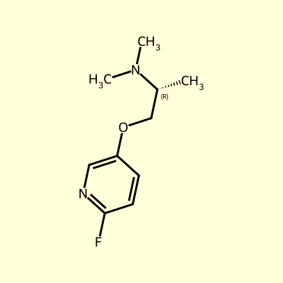 C[C@H](COc1ccc(F)nc1)N(C)C